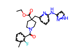 CCOC(=O)C1(Cc2cccc(Nc3cc[nH]n3)n2)CCN(C(=O)c2cccc(C)c2F)CC1